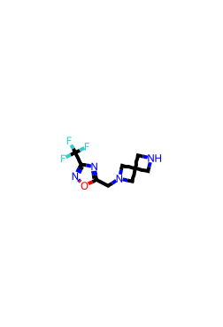 FC(F)(F)c1noc(CN2CC3(CNC3)C2)n1